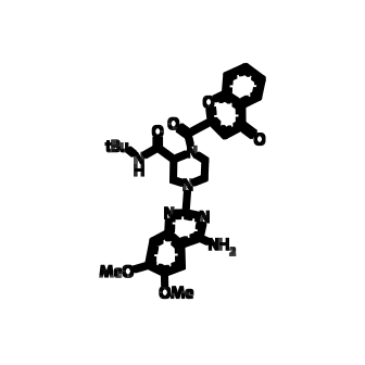 COc1cc2nc(N3CCN(C(=O)c4cc(=O)c5ccccc5o4)C(C(=O)NC(C)(C)C)C3)nc(N)c2cc1OC